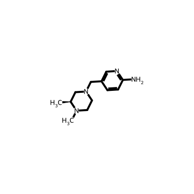 C[C@H]1CN(Cc2ccc(N)nc2)CCN1C